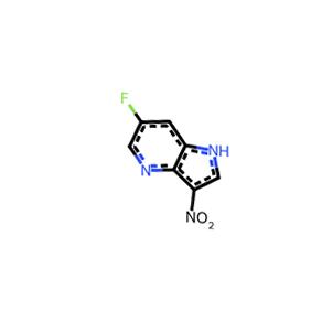 O=[N+]([O-])c1c[nH]c2cc(F)cnc12